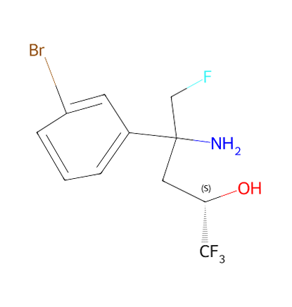 NC(CF)(C[C@H](O)C(F)(F)F)c1cccc(Br)c1